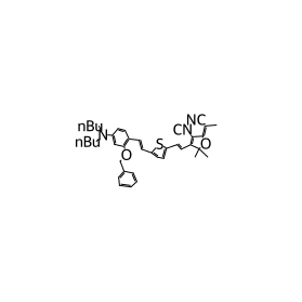 [C-]#[N+]C1=C(/C=C/c2ccc(/C=C/c3ccc(N(CCCC)CCCC)cc3OCc3ccccc3)s2)C(C)(C)O/C1=C(\C)C#N